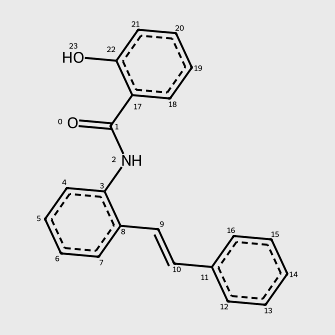 O=C(Nc1ccccc1C=Cc1ccccc1)c1ccccc1O